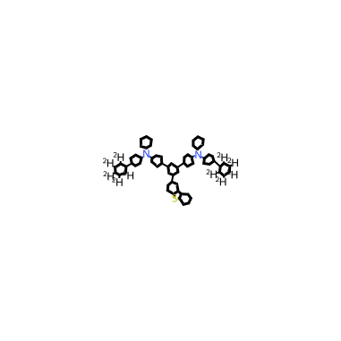 [2H]c1c([2H])c([2H])c(-c2ccc(N(c3ccccc3)c3ccc(-c4cc(-c5ccc(N(c6ccccc6)c6ccc(-c7c([2H])c([2H])c([2H])c([2H])c7[2H])cc6)cc5)cc(-c5ccc6sc7ccccc7c6c5)c4)cc3)cc2)c([2H])c1[2H]